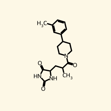 Cc1cccc(C2CCN(C(=O)C(C)CC3NC(=O)NC3=O)CC2)c1